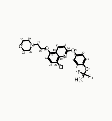 CC(F)(F)Oc1ccc(Oc2ccc3c(OCCN4CCOCC4)ccc(Cl)c3n2)cc1